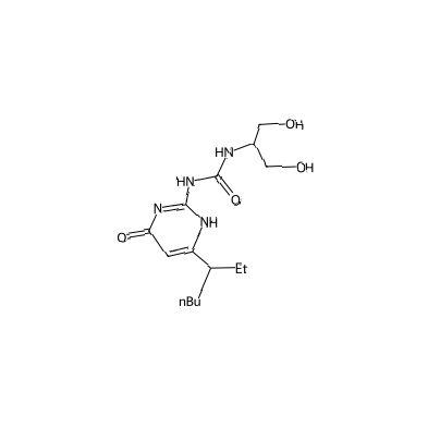 CCCCC(CC)c1cc(=O)nc(NC(=O)NC(CO)CO)[nH]1